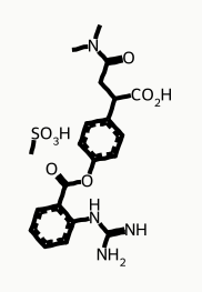 CN(C)C(=O)CC(C(=O)O)c1ccc(OC(=O)c2ccccc2NC(=N)N)cc1.CS(=O)(=O)O